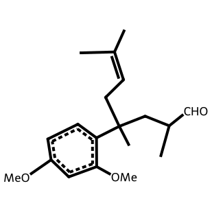 COc1ccc(C(C)(CC=C(C)C)CC(C)C=O)c(OC)c1